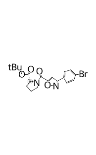 CC(C)(C)OC(=O)[C@H]1CCCN1C(=O)c1cc(-c2ccc(Br)cc2)no1